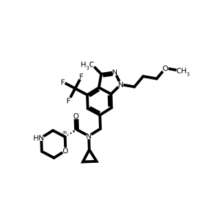 COCCCn1nc(C)c2c(C(F)(F)F)cc(CN(C(=O)[C@H]3CNCCO3)C3CC3)cc21